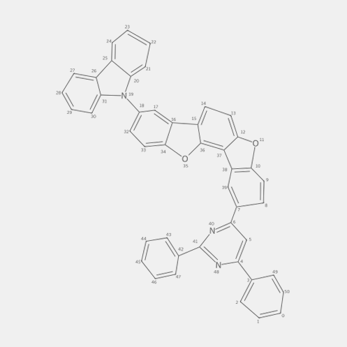 c1ccc(-c2cc(-c3ccc4oc5ccc6c7cc(-n8c9ccccc9c9ccccc98)ccc7oc6c5c4c3)nc(-c3ccccc3)n2)cc1